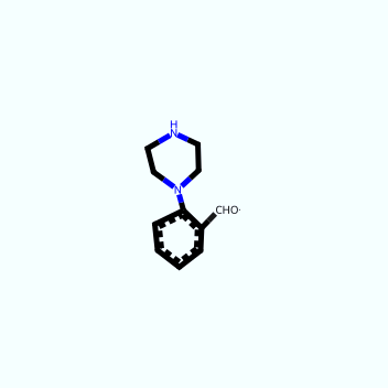 O=[C]c1ccccc1N1CCNCC1